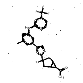 Cc1cc(Nc2nccc(C(F)(F)F)n2)cc(-c2cnc(C3(O)CC4C(C3)C4C(=O)O)s2)c1